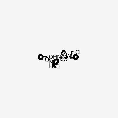 O=C(Nc1cc(NC(=O)[C@@H]2CCCN2C(=O)NCc2cccc(Cl)c2F)cc2occc12)OCc1ccccc1